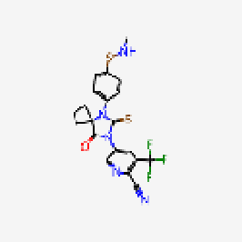 CNSc1ccc(N2C(=S)N(c3cnc(C#N)c(C(F)(F)F)c3)C(=O)C23CCC3)cc1